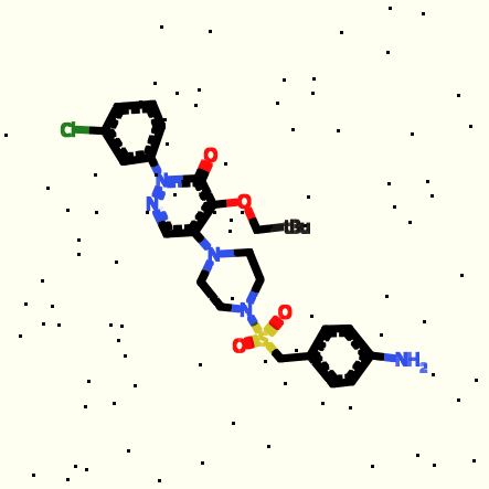 CC(C)(C)COc1c(N2CCN(S(=O)(=O)Cc3ccc(N)cc3)CC2)cnn(-c2cccc(Cl)c2)c1=O